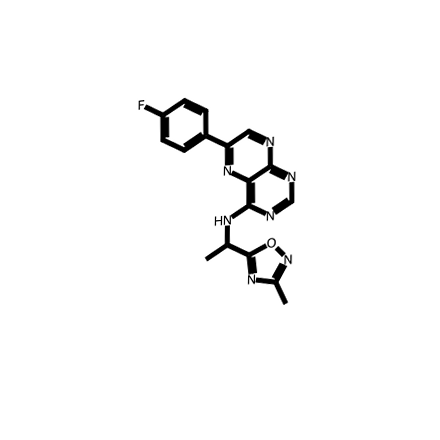 Cc1noc(C(C)Nc2ncnc3ncc(-c4ccc(F)cc4)nc23)n1